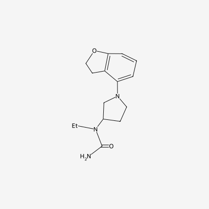 CCN(C(N)=O)C1CCN(c2cccc3c2CCO3)C1